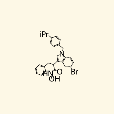 CC(C)c1ccc(Cn2cc(C(Cc3ccccc3)C(=O)NO)c3cc(Br)ccc32)cc1